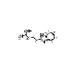 N=C(N)SCCc1nc2ccccc2[nH]1